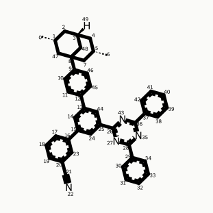 C[C@@H]1C[C@@H]2C[C@H](C)CC(c3ccc(-c4cc(-c5cccc(C#N)c5)cc(-c5nc(-c6ccccc6)nc(-c6ccccc6)n5)c4)cc3)(C1)C2